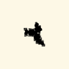 C=Cc1cccc(N(c2ccc(C(C)C)cc2)c2ccc(C(C)(C)CCC)cc2)c1